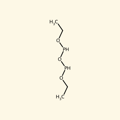 CCOPOPOCC